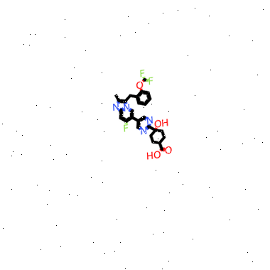 Cc1nc2cc(F)c(-c3cnc(C4(O)CCC(C(=O)O)CC4)nc3)cn2c1Cc1ccccc1OC(F)F